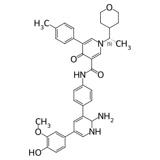 COc1cc(C2=CNC(N)C(c3ccc(NC(=O)c4cn([C@@H](C)C5CCOCC5)cc(-c5ccc(C)cc5)c4=O)cc3)=C2)ccc1O